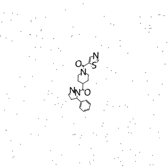 O=C(c1cncs1)N1CCC(C(=O)N2N=CCC2c2ccccc2)CC1